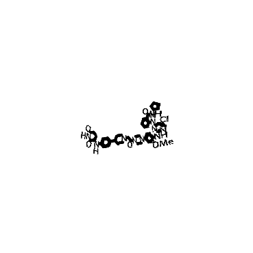 COc1cc(N2CCN(C(=O)CN3CCC(c4ccc(NC5CCC(=O)NC5=O)cc4)CC3)CC2)ccc1Nc1ncc(Cl)c(Nc2ccccc2C(=O)NC2CCCC2)n1